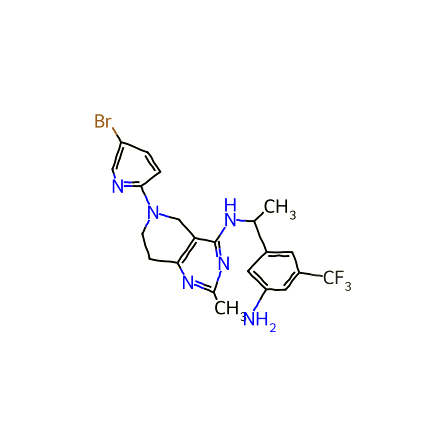 Cc1nc2c(c(NC(C)c3cc(N)cc(C(F)(F)F)c3)n1)CN(c1ccc(Br)cn1)CC2